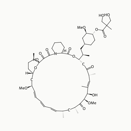 CO[C@@H]1/C=C/C=C/C=C/[C@@H](C)C[C@@H](C)C(=O)[C@H](OC)[C@H](O)/C(C)=C/[C@@H](C)C(=O)C[C@@H]([C@H](C)C[C@@H]2CC[C@@H](OC(=O)C(C)(CO)CO)[C@H](O[14CH3])C2)OC(=O)[C@@H]2CCCCN2C(=O)C(=O)[C@]2(O)O[C@@H](CC[C@H]2C)C1